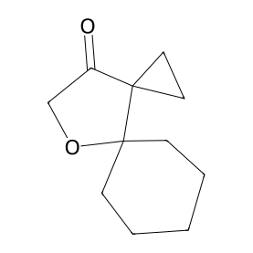 O=C1COC2(CCCCC2)C12CC2